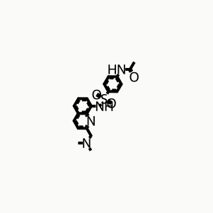 CC(=O)Nc1ccc(S(=O)(=O)Nc2cccc3ccc(CN(C)C)nc23)cc1